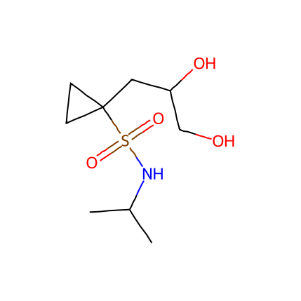 CC(C)NS(=O)(=O)C1(CC(O)CO)CC1